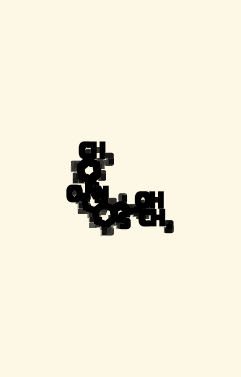 Cc1ccc(N2N=C3c4cc(C(C)O)sc4CCC3CC2=O)cc1